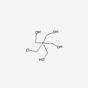 OCP(CO)(CO)(CO)CCl